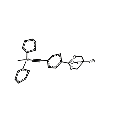 CCCC12COC(c3ccc(C#C[Si](C)(c4ccccc4)c4ccccc4)cc3)(OC1)OC2